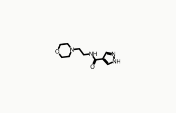 O=C(NCCN1CCOCC1)c1cn[nH]c1